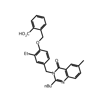 CCCCc1nc2ccc(C)cc2c(=O)n1Cc1ccc(OCc2ccccc2C(=O)O)c(CC)c1